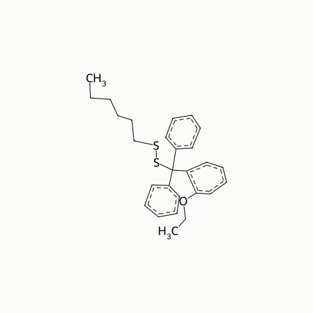 CCCCCCSSC(c1ccccc1)(c1ccccc1)c1ccccc1OCC